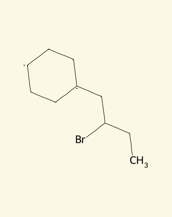 CCC(Br)C[C]1CC[CH]CC1